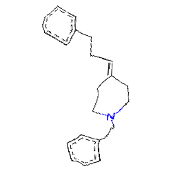 C(CCc1ccccc1)=C1CCN(Cc2ccccc2)CC1